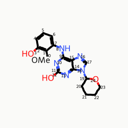 COc1c(O)cccc1Nc1nc(O)nc2c1ncn2C1CCCCO1